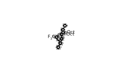 CCCCCCCCC1(CCCCCCCC)c2cc(-c3ccccc3)ccc2-c2ccc(-c3ccc4c(c3)/C(=C\c3cc(C(F)(F)F)cc(C(F)(F)F)c3)c3cc(-c5ccccc5)ccc3-4)cc21